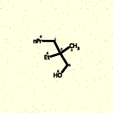 CCCCC(C)(CC)CO